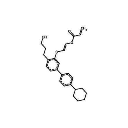 C=CC(=O)O/C=C/Oc1cc(-c2ccc(C3CCCCC3)cc2)ccc1CCCO